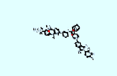 CS(=O)(=O)c1ccc(Nc2nc(N3CCC[C@@H](NC(=O)C4CC5CCC(C4)N5CC4CCN(c5ccc6c(c5)C(=O)N(C5CCC(=O)NC5=O)C6=O)CC4)C3)cnc2C(N)O)cc1